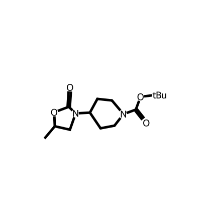 CC1CN(C2CCN(C(=O)OC(C)(C)C)CC2)C(=O)O1